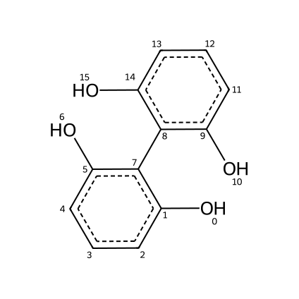 Oc1cccc(O)c1-c1c(O)cccc1O